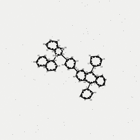 c1ccc(-c2c3ccccc3c(-c3ccccc3)c3cc(-c4ccc(-c5nc6ccccc6n5-c5cccc6ccccc56)cc4)ccc23)cc1